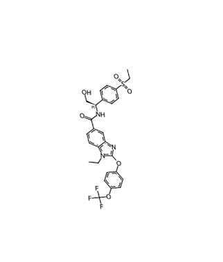 CCn1c(Oc2ccc(OC(F)(F)F)cc2)nc2cc(C(=O)N[C@@H](CO)c3ccc(S(=O)(=O)CC)cc3)ccc21